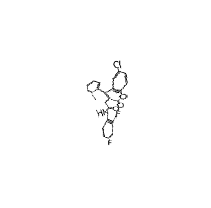 Cc1ccccc1-c1c(CC(=O)Nc2ccc(F)cc2F)c(=O)oc2ccc(Cl)cc12